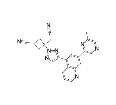 Cc1cncc(-c2cc(-c3cnn(C4(CC#N)CC(C#N)C4)n3)c3cccnc3c2)n1